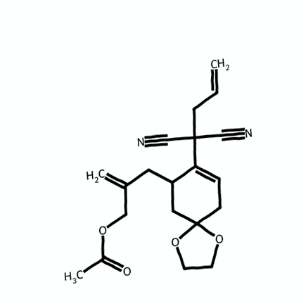 C=CCC(C#N)(C#N)C1=CCC2(CC1CC(=C)COC(C)=O)OCCO2